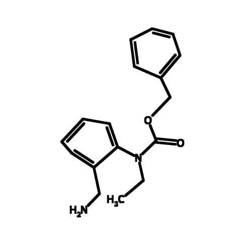 CCN(C(=O)OCc1ccccc1)c1ccccc1CN